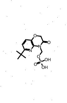 CC(C)(C)c1ccc2c(n1)N(COP(=O)(O)O)C(=O)CO2